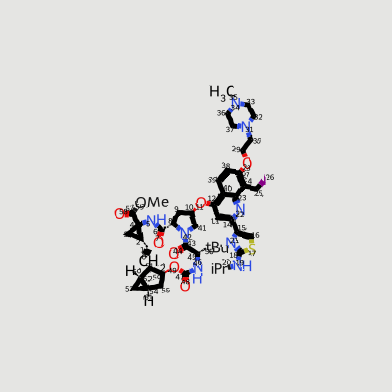 C=C[C@@H]1CC1(NC(=O)[C@@H]1C[C@@H](Oc2cc(-c3csc(NC(C)C)n3)nc3c(CI)c(OCCN4CCN(C)CC4)ccc23)CN1C(=O)[C@@H](NC(=O)O[C@@H]1C[C@@H]2C[C@@H]2C1)C(C)(C)C)C(=O)OC